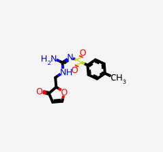 Cc1ccc(S(=O)(=O)N=C(N)NCC2OC=CC2=O)cc1